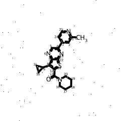 Cc1cc(-c2cnc3c(C4CC4)c(C(=O)N4CCCCC4)sc3n2)ccn1